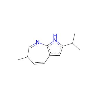 CC1C=Cc2cc(C(C)C)[nH]c2N=C1